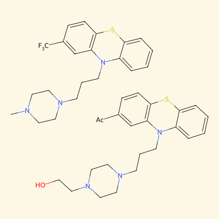 CC(=O)c1ccc2c(c1)N(CCCN1CCN(CCO)CC1)c1ccccc1S2.CN1CCN(CCCN2c3ccccc3Sc3ccc(C(F)(F)F)cc32)CC1